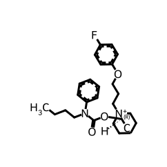 CCCCN(C(=O)O[C@@H]1CC2CC[N+]1(CCCOc1ccc(F)cc1)CC2)c1ccccc1